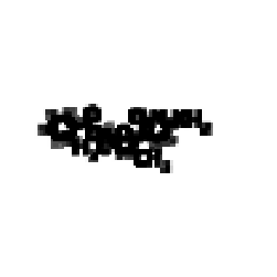 C[C@H]1C[C@@](C)(COC(=O)c2ccccc2)O[C@H]1n1ccc(N)nc1=O